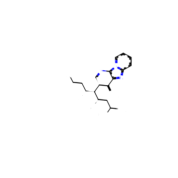 C=C1c2nc3ccccn3c2N=C[C@@H]1[C@H]([C@H](C)CCC)[C@H](C)CC(C)C